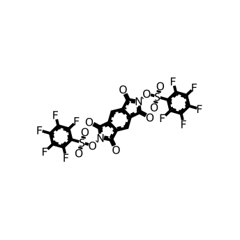 O=c1c2cc3c(=O)n(OS(=O)(=O)c4c(F)c(F)c(F)c(F)c4F)c(=O)c3cc2c(=O)n1OS(=O)(=O)c1c(F)c(F)c(F)c(F)c1F